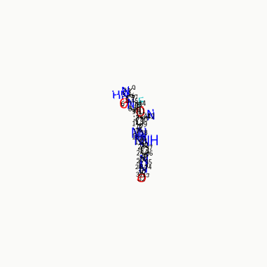 Cc1n[nH]c(C(=O)N2CC[C@H](Oc3ccc(-c4ncnc(Nc5ccc(N6CCN(C7COC7)CC6)cc5)n4)cc3C#N)[C@@H](F)C2)c1C